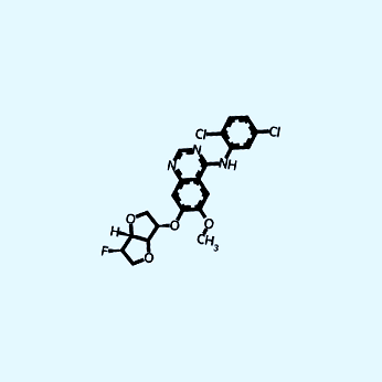 COc1cc2c(Nc3cc(Cl)ccc3Cl)ncnc2cc1O[C@@H]1CO[C@@H]2C1OC[C@H]2F